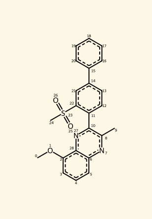 COc1cccc2nc(C)c(-c3ccc(-c4ccccc4)cc3S(C)(=O)=O)nc12